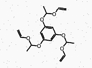 C=COC(C)Oc1cc(OC(C)OC=C)cc(OC(C)OC=C)c1